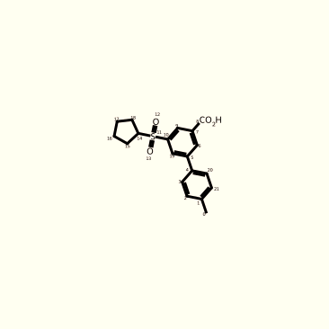 Cc1ccc(-c2cc(C(=O)O)cc(S(=O)(=O)C3CCCC3)c2)cc1